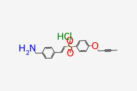 CC#CCOc1ccc(S(=O)(=O)C=Cc2ccc(CN)cc2)cc1.Cl